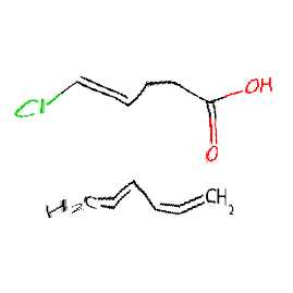 C=CC=C.O=C(O)CC=CCl